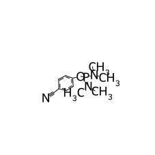 CN(C)P(Oc1ccc(C#N)cc1)N(C)C